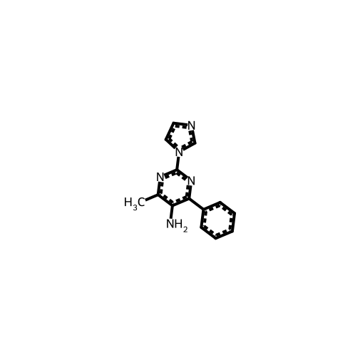 Cc1nc(-n2ccnc2)nc(-c2ccccc2)c1N